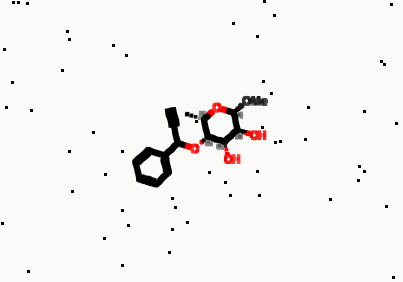 C#CC(O[C@H]1[C@@H](O)[C@H](O)[C@H](OC)O[C@H]1C)c1ccccc1